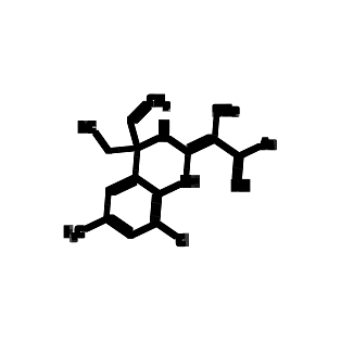 C=CC1(CC#N)N/C(=C(\SC)C(=N)C(C)=O)Nc2c(Cl)cc(C(F)(F)F)cc21